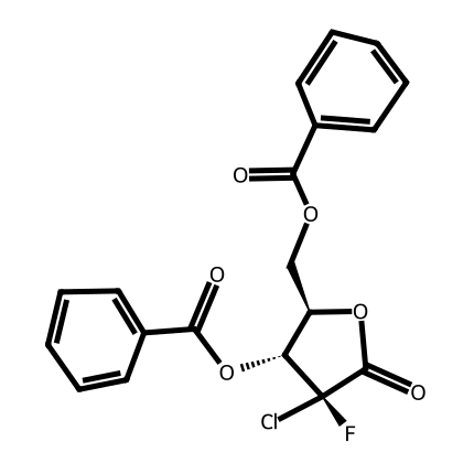 O=C(OC[C@H]1OC(=O)[C@](F)(Cl)[C@@H]1OC(=O)c1ccccc1)c1ccccc1